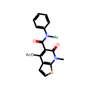 CC(=O)Oc1c(C(=O)N(C(C)=O)c2ccccc2)c(=O)n(C)c2sccc12